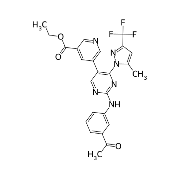 CCOC(=O)c1cncc(-c2cnc(Nc3cccc(C(C)=O)c3)nc2-n2nc(C(F)(F)F)cc2C)c1